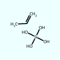 C=CC.O[Si](O)(O)O